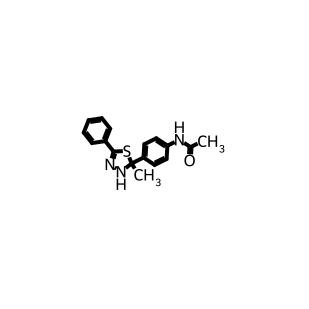 CC(=O)Nc1ccc(C2(C)NN=C(c3ccccc3)S2)cc1